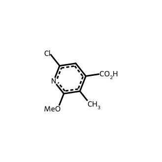 COc1nc(Cl)cc(C(=O)O)c1C